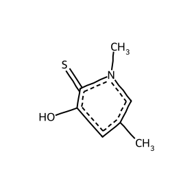 Cc1cc(O)c(=S)n(C)c1